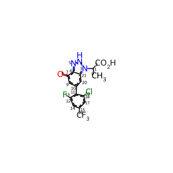 CC(C(=O)O)n1[nH]nc2c(=O)cc(-c3c(F)cc(C(F)(F)F)cc3Cl)cc1-2